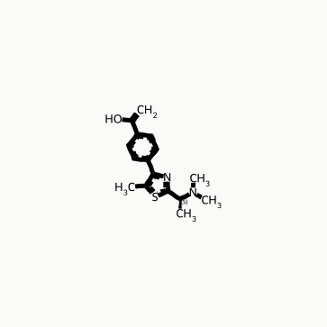 C=C(O)c1ccc(-c2nc([C@H](C)N(C)C)sc2C)cc1